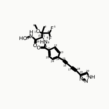 COC(C)(C(F)F)[C@H](NC(=O)c1ccc(C#CC#Cc2c[nH]nn2)cc1)C(=O)NO